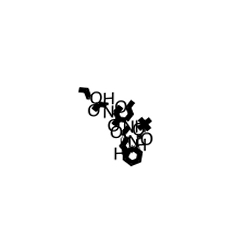 CCCOC(=O)CNC(=O)C(=O)C(CCC)NC(=O)[C@@H]1C[C@@H]2CCCC[C@@H]2N1C(=O)OC(C)(C)C